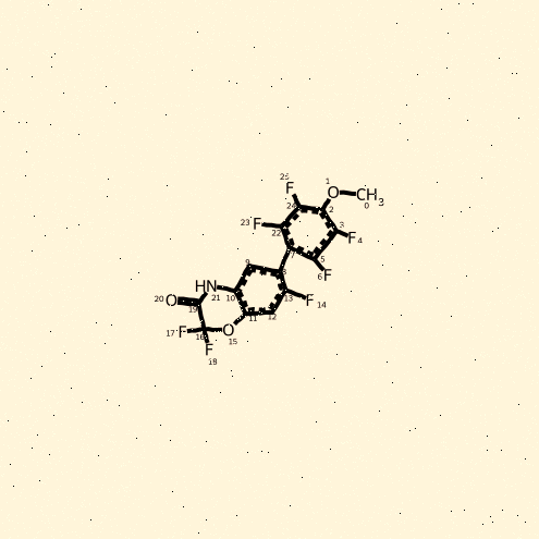 COc1c(F)c(F)c(-c2cc3c(cc2F)OC(F)(F)C(=O)N3)c(F)c1F